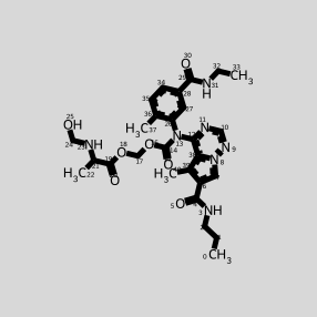 CCCNC(=O)c1cn2ncnc(N(C(=O)OCOC(=O)C(C)NCO)c3cc(C(=O)NCC)ccc3C)c2c1C